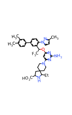 CCC1NC(C(=O)O)CC12CCN(c1cc(O[C@H](c3cc(-c4ccc(C)c(C)c4)ccc3-n3ccc(C)n3)C(F)(F)F)nc(N)n1)CC2